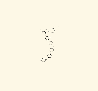 CC(=O)NC1CCCN(c2nnc(C(N)=O)c(Nc3ccc(N4CCN(CC5CCN(c6ccc(NC7CCC(=O)NC7=O)c(F)c6)CC5)CC4)c(F)c3)n2)C1